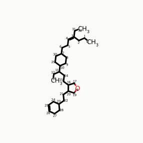 CCC/C(=C\CCC1CCC(C(CC)CCC2COCC2CCC2CC=CCC2)CC1)CC